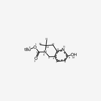 CC(C)(C)OC(=O)N1Cc2ccc(O)nc2CC1(C)C